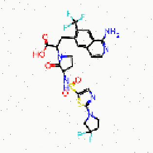 Nc1nccc2cc(CC(C(=O)O)N3CCC(NS(=O)(=O)c4cnc(N5CCC(F)(F)C5)s4)C3=O)c(C(F)(F)F)cc12